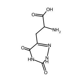 NC(Cc1n[nH]c(=O)[nH]c1=O)C(=O)O